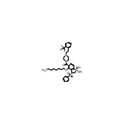 CCCCCCCCOc1c(C(=O)N2CCN(CCc3ccccc3C(F)(F)F)CC2)ccc2c1C(S(=O)(=O)c1ccccc1)CS2(O)O